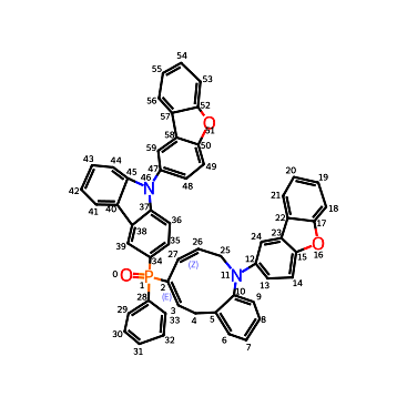 O=P(C1=C/Cc2ccccc2N(c2ccc3oc4ccccc4c3c2)C/C=C\1)(c1ccccc1)c1ccc2c(c1)c1ccccc1n2-c1ccc2oc3ccccc3c2c1